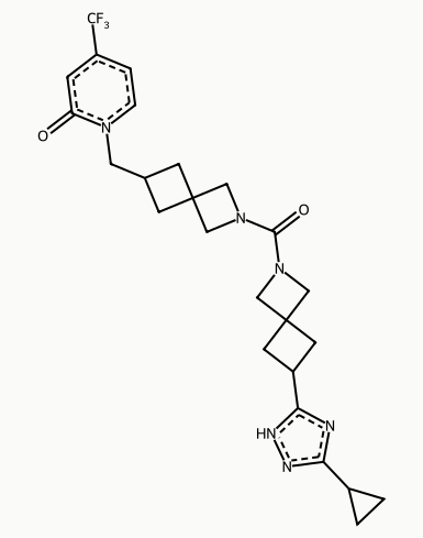 O=C(N1CC2(CC(Cn3ccc(C(F)(F)F)cc3=O)C2)C1)N1CC2(CC(c3nc(C4CC4)n[nH]3)C2)C1